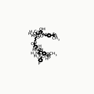 CCS(=O)(=O)Nc1ccc(-c2n[nH]c(Nc3ccc(C(=O)OCCCC(=O)N[C@H](C(=O)N4C[C@H](O)C[C@H]4C(=O)NCc4ccc(-c5scnc5C)cc4)C(C)(C)C)cn3)c2C(N)=O)cc1O[C@@H](C)c1ccc(F)cc1